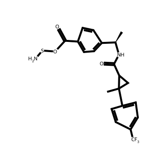 C[C@@H](NC(=O)C1CC1(C)c1ccc(C(F)(F)F)cc1)c1ccc(C(=O)OSN)cc1